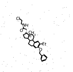 CCc1cc2c(cc1OCc1ccccc1)CCC1C2CC[C@@]2(C)C1CC[C@@H]2CC(=O)NCCCl